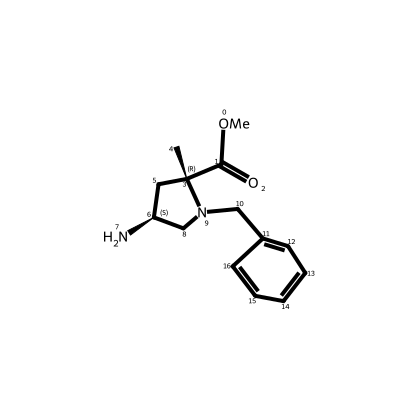 COC(=O)[C@@]1(C)C[C@H](N)CN1Cc1ccccc1